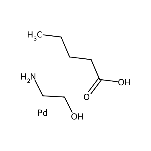 CCCCC(=O)O.NCCO.[Pd]